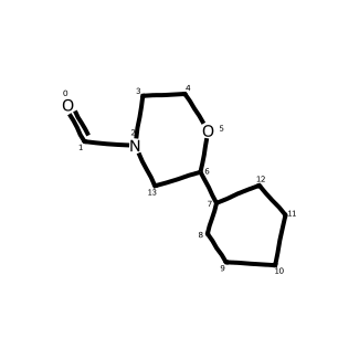 O=CN1CCOC(C2CCCCC2)C1